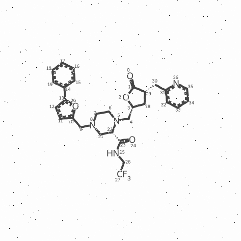 O=C1O[C@H](CN2CCN(Cc3ccc(-c4ccccc4)o3)C[C@H]2C(=O)NCC(F)(F)F)C[C@H]1Cc1ccccn1